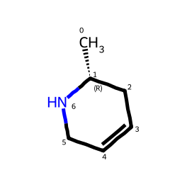 C[C@@H]1CC=CCN1